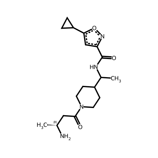 CC(NC(=O)c1cc(C2CC2)on1)C1CCN(C(=O)C[C@@H](C)N)CC1